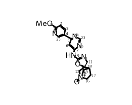 COc1ccc(-c2cc(NC3=NC[C@@]4(C[N+]5([O-])CCC4CC5)O3)ncn2)cn1